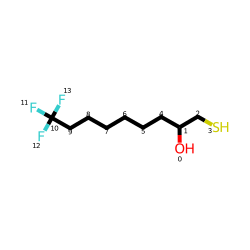 OC(CS)CCCCCCC(F)(F)F